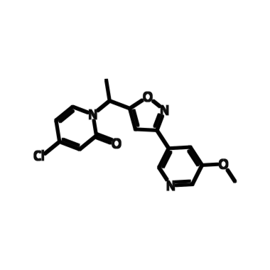 COc1cncc(-c2cc(C(C)n3ccc(Cl)cc3=O)on2)c1